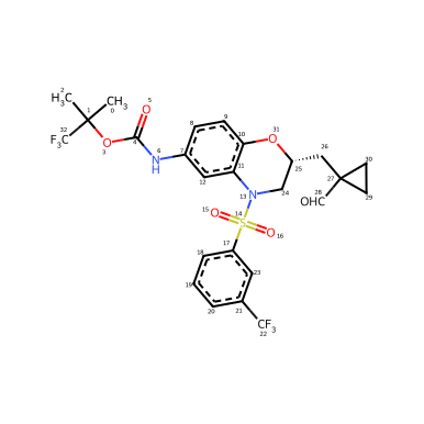 CC(C)(OC(=O)Nc1ccc2c(c1)N(S(=O)(=O)c1cccc(C(F)(F)F)c1)C[C@@H](CC1(C=O)CC1)O2)C(F)(F)F